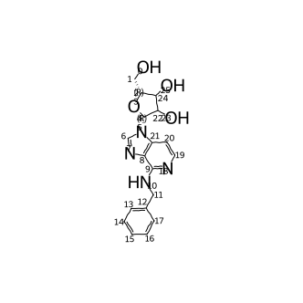 OC[C@H]1O[C@@H](n2cnc3c(NCc4ccccc4)nccc32)C(O)C1O